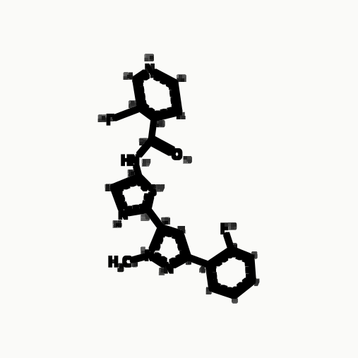 Cn1nc(-c2ccccc2F)cc1-c1ncc(NC(=O)c2ccncc2F)s1